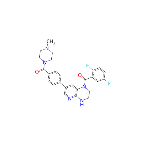 CN1CCN(C(=O)c2ccc(-c3cnc4c(c3)N(C(=O)c3cc(F)ccc3F)CCN4)cc2)CC1